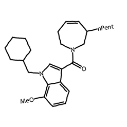 CCCCCC1C=CCCN(C(=O)c2cn(CC3CCCCC3)c3c(OC)cccc23)C1